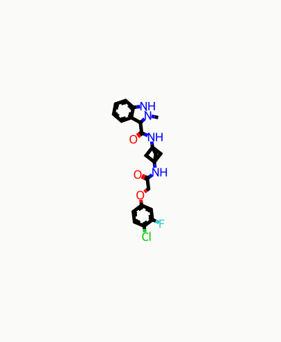 CN1Nc2ccccc2C1C(=O)NC12CC(NC(=O)COc3ccc(Cl)c(F)c3)(C1)C2